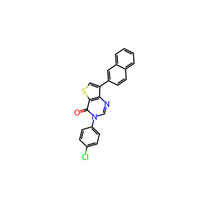 O=c1c2scc(-c3ccc4ccccc4c3)c2ncn1-c1ccc(Cl)cc1